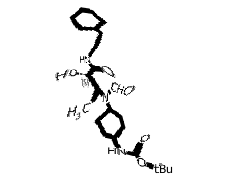 CC([C@H](O)C(=O)NCC1CCCCC1)N(C=O)C1CCC(NC(=O)OC(C)(C)C)CC1